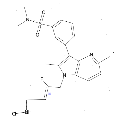 Cc1ccc2c(n1)c(-c1cccc(S(=O)(=O)N(C)C)c1)c(C)n2C/C(F)=C/CNCl